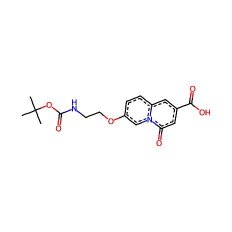 CC(C)(C)OC(=O)NCCOc1ccc2cc(C(=O)O)cc(=O)n2c1